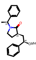 CO[C@H](C[C@H]1CCN([C@@H](C)c2ccccc2)C1=O)c1ccccc1